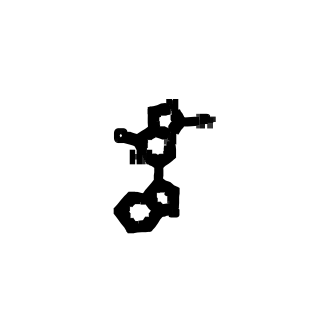 CC(C)c1ncc2c(=O)[nH]c(-c3csc4ccccc34)cn12